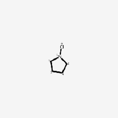 ClN1C[CH]CC1